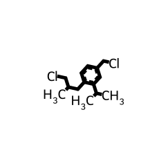 CC(CCl)Cc1ccc(CCl)cc1C(C)C